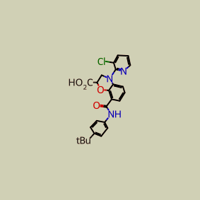 CC(C)(C)c1ccc(NC(=O)c2cccc3c2OC(C(=O)O)CN3c2ncccc2Cl)cc1